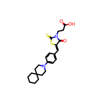 O=C(O)CCN1C(=O)/C(=C/c2ccc(N3CCC4(CCCCC4)CC3)cc2)SC1=S